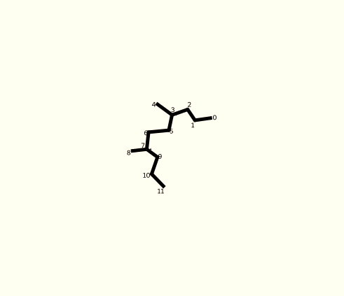 CCC[C](C)CC[C](C)CCC